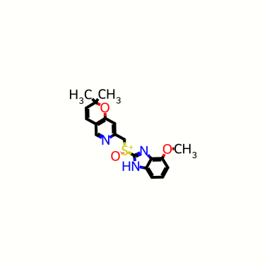 COc1cccc2[nH]c([S+]([O-])Cc3cc4c(cn3)C=CC(C)(C)O4)nc12